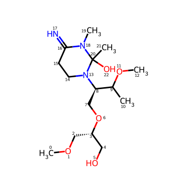 COC[C@@H](CO)OC[C@H](C(C)OC)N1CCC(=N)N(C)C1(C)O